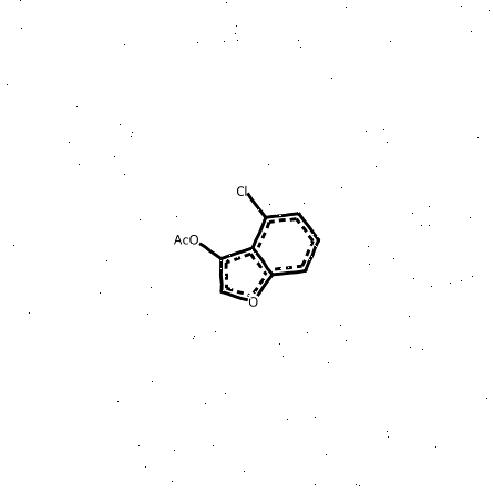 CC(=O)Oc1coc2cccc(Cl)c12